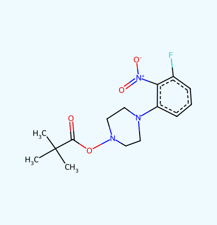 CC(C)(C)C(=O)ON1CCN(c2cccc(F)c2[N+](=O)[O-])CC1